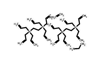 C=C.C=CC[N+](CC=C)(CC=C)CC[N+](CC=C)(CC=C)CC=C.C=CC[N+](CC=C)(CC=C)CC[N+](CC=C)(CC=C)CC=C.[CH2]CN